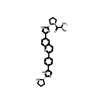 CC(C)[C@H](N)C(=O)N1CCC[C@H]1c1nc(-c2ccc3nc(-c4ccc(-c5cnc([C@@H]6CCCN6)[nH]5)cc4)ccc3c2)c[nH]1